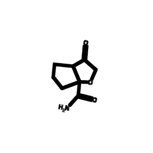 NC(=O)C12CCC[C]1C(=O)CO2